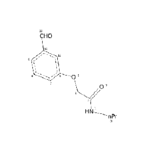 CCCNC(=O)COc1cccc(C=O)c1